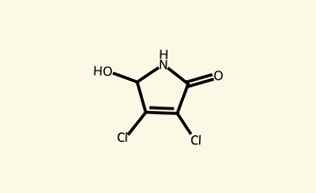 O=C1NC(O)C(Cl)=C1Cl